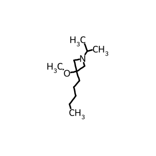 CCCCCC1(OC)CN(C(C)C)C1